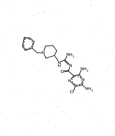 NC(=NC(=O)c1nc(Cl)c(N)nc1N)NC1CCCN(Cc2ccccc2)C1